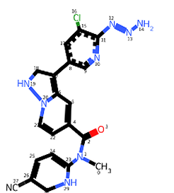 CN(C(=O)C1=CC2=C(c3cnc(N=NN)c(Cl)c3)CNN2C=C1)C1=CC=C(C#N)CN1